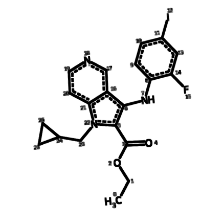 CCOC(=O)c1c(Nc2ccc(I)cc2F)c2cnccc2n1CC1CC1